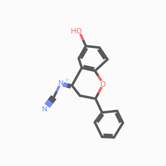 N#C/N=C1\CC(c2ccccc2)Oc2ccc(O)cc21